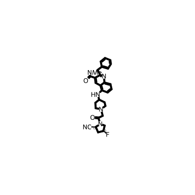 CNC(=O)c1cc2c(NC3CCN(CC(=O)N4C[C@@H](F)C[C@H]4C#N)CC3)cccc2nc1Cc1ccccc1